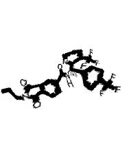 CCCN1C(=O)c2ccc(C(=O)N[C@@H](c3ccc(C(F)(F)F)cc3)c3ncccc3C(F)(F)F)cc2C1=O